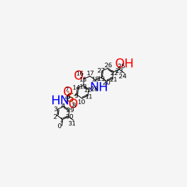 Cc1ccc(NS(=O)(=O)c2ccc3c(c2)C(=O)CC(c2ccc(C(C)O)cc2)N3)cc1C